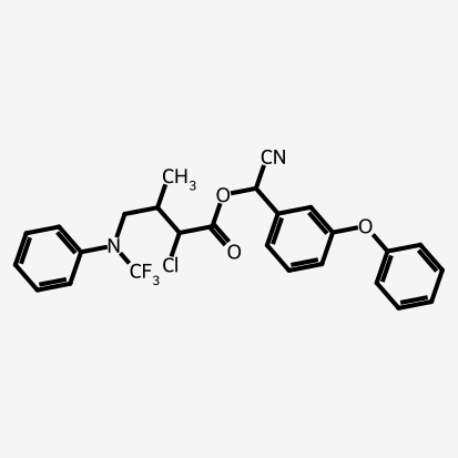 CC(CN(c1ccccc1)C(F)(F)F)C(Cl)C(=O)OC(C#N)c1cccc(Oc2ccccc2)c1